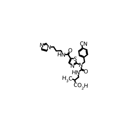 CC(CNC(=O)N(Cc1ccc(C#N)cc1)c1ncc(C(=O)NCCCn2ccnc2)s1)C(=O)O